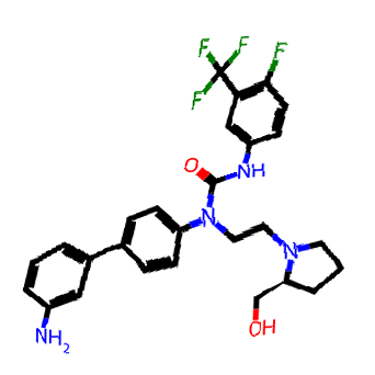 Nc1cccc(-c2ccc(N(CCN3CCC[C@H]3CO)C(=O)Nc3ccc(F)c(C(F)(F)F)c3)cc2)c1